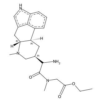 CCOC(=O)CN(C)C(=O)C(N)[C@@H]1C[C@@H]2c3cccc4[nH]cc(c34)C[C@H]2N(C)C1